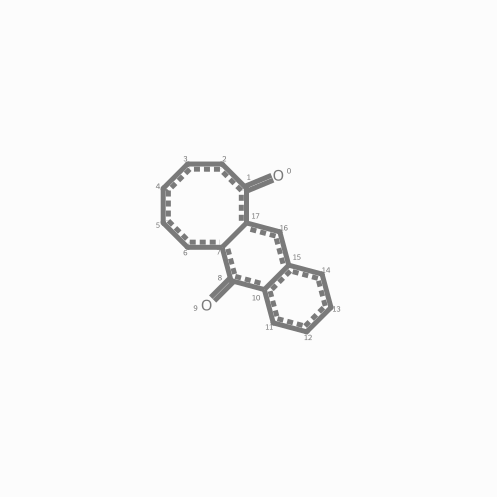 O=c1cccccc2c(=O)c3ccccc3cc1-2